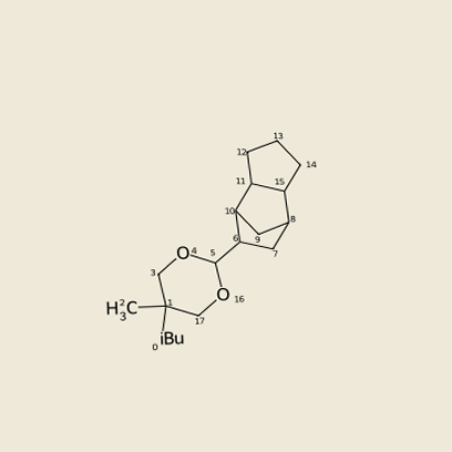 CCC(C)C1(C)COC(C2CC3CC2C2CCCC32)OC1